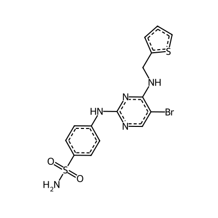 NS(=O)(=O)c1ccc(Nc2ncc(Br)c(NCc3cccs3)n2)cc1